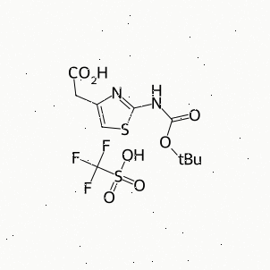 CC(C)(C)OC(=O)Nc1nc(CC(=O)O)cs1.O=S(=O)(O)C(F)(F)F